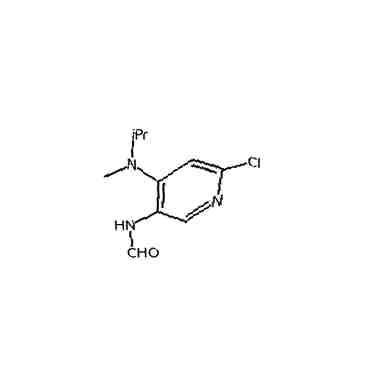 CC(C)N(C)c1cc(Cl)ncc1NC=O